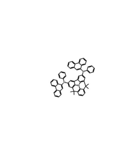 CC1(C)c2cccc3c2-n2c4c1cc(N(c1ccccc1)c1cc5ccccc5c5ccccc15)cc4c1cc(N(c4ccccc4)c4cc5ccccc5c5ccccc45)cc(c12)C3(C)C